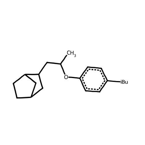 CCC(C)c1ccc(OC(C)CC2CC3CCC2C3)cc1